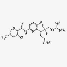 COCC[C@@H](c1nc(NC(=O)c2ncc(C(F)(F)F)cc2Cl)ccc1F)C(F)(F)COC(=N)N